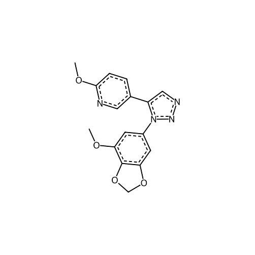 COc1ccc(-c2cnnn2-c2cc(OC)c3c(c2)OCO3)cn1